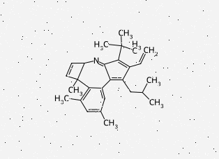 C=CC1=C(C(C)(C)C)C2=NC3C=CC3(C)c3c(C)cc(C)cc3C2=C1CC(C)C